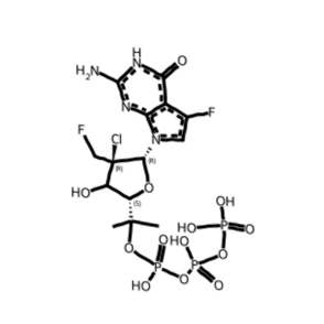 CC(C)(OP(=O)(O)OP(=O)(O)OP(=O)(O)O)[C@H]1O[C@@H](n2cc(F)c3c(=O)[nH]c(N)nc32)[C@@](Cl)(CF)C1O